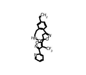 C=Cc1ccc2c(c1)CCNOC1(c3onc(-c4ccccn4)c3C(F)(F)F)CC2=NO1